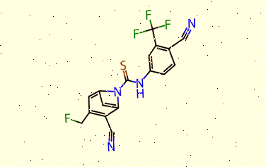 N#CC1=C(CF)C=C2C=C1N2C(=S)Nc1ccc(C#N)c(C(F)(F)F)c1